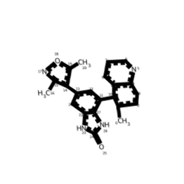 Cc1ccc2ncccc2c1-c1cc(-c2c(C)noc2C)cc2[nH]c(=O)[nH]c12